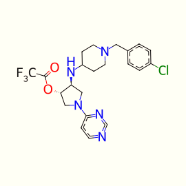 O=C(O[C@H]1CN(c2ccncn2)C[C@@H]1NC1CCN(Cc2ccc(Cl)cc2)CC1)C(F)(F)F